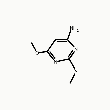 COc1cc(N)nc(SC)n1